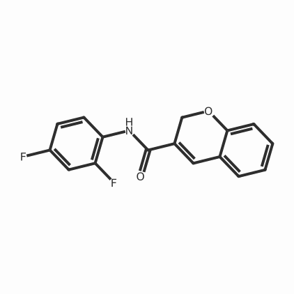 O=C(Nc1ccc(F)cc1F)C1=Cc2ccccc2OC1